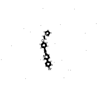 Brc1ccc(-c2ccc(C#Cc3ccc(OCCN4CCCC4)cc3)nc2)cc1